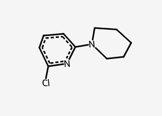 Clc1cccc(N2CCCCC2)n1